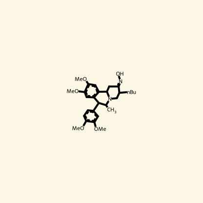 CCCCC1CN2C(CC1=NO)c1cc(OC)c(OC)cc1C(c1ccc(OC)c(OC)c1)C2C